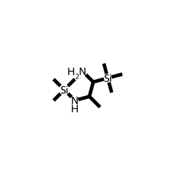 CC(N[Si](C)(C)C)C(N)[Si](C)(C)C